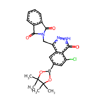 CC1(C)OB(c2cc(Cl)c3c(=O)[nH]nc(CN4C(=O)c5ccccc5C4=O)c3c2)OC1(C)C